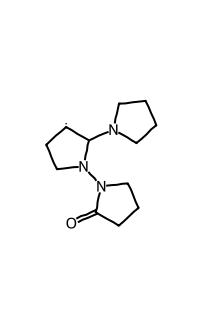 O=C1CCCN1N1CC[CH]C1N1CCCC1